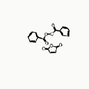 O=C(OOC(=O)c1ccccc1)c1ccccc1.O=C1C=CC(=O)O1